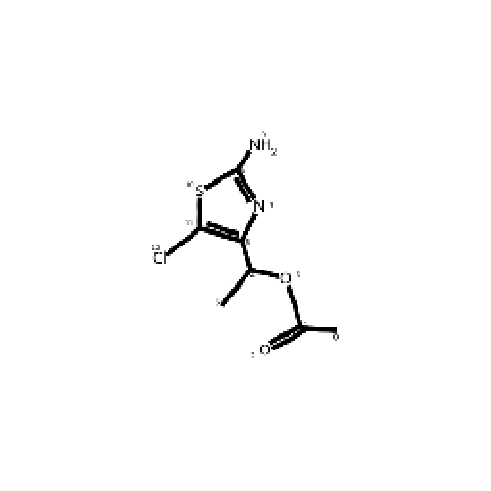 CC(=O)OC(C)c1nc(N)sc1Cl